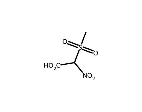 CS(=O)(=O)C(C(=O)O)[N+](=O)[O-]